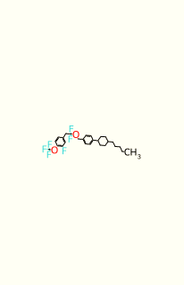 CCCCCC1CCC(c2ccc(COC(F)(F)Cc3ccc(OC(F)(F)F)c(F)c3)cc2)CC1